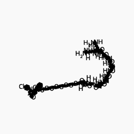 CC(=O)N1c2ccc(N(CCOCCOCCOCCOCCOCCOCCOCCOCCNC(=O)c3nc(NC(=O)CCNC(=O)c4cc(NC(=O)c5nc(NC(=O)CCNC(=O)c6cc(NC(=O)c7nc(NC(=O)CCNC(=O)[C@H](CCCNC(=N)N)NC(=O)[C@@H](N)CCCNC(=N)N)cn7C)cn6C)cn5C)cn4C)cn3C)C(=O)c3ccccc3)cc2[C@H](Nc2ccc(Cl)cc2)C[C@@H]1C